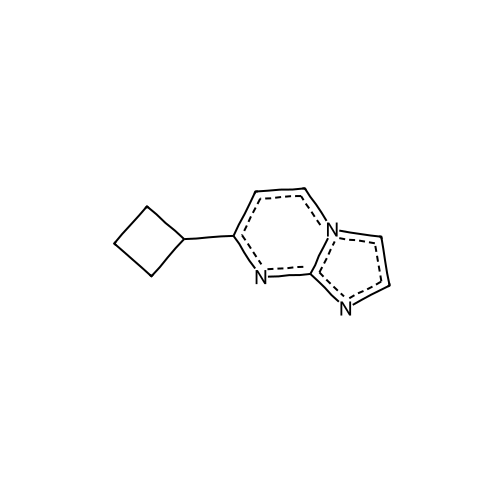 c1cn2ccc(C3CCC3)nc2n1